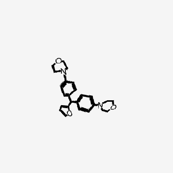 c1coc(C(c2ccc(N3CCOCC3)cc2)c2ccc(N3CCOCC3)cc2)c1